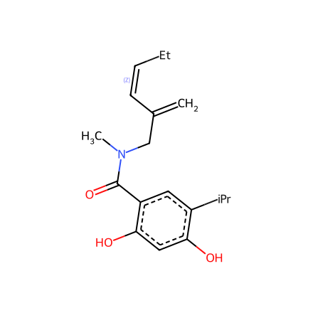 C=C(/C=C\CC)CN(C)C(=O)c1cc(C(C)C)c(O)cc1O